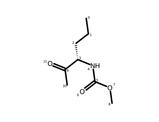 CCC[C@H](NC(=O)OC)C(C)=O